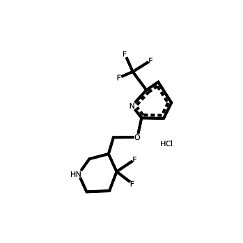 Cl.FC(F)(F)c1cccc(OCC2CNCCC2(F)F)n1